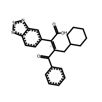 O=C(O)/C(=C(\CC1CCCCC1)C(=O)c1ccccc1)c1ccc2nsnc2c1